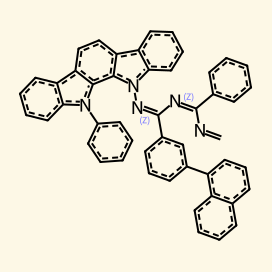 C=N/C(=N\C(=N/n1c2ccccc2c2ccc3c4ccccc4n(-c4ccccc4)c3c21)c1cccc(-c2cccc3ccccc23)c1)c1ccccc1